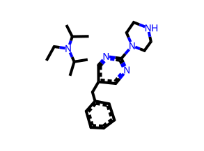 CCN(C(C)C)C(C)C.c1ccc(Cc2cnc(N3CCNCC3)nc2)cc1